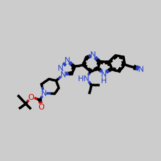 CC(C)Nc1c(-c2cn(C3CCN(C(=O)OC(C)(C)C)CC3)nn2)cnc2c1[nH]c1cc(C#N)ccc12